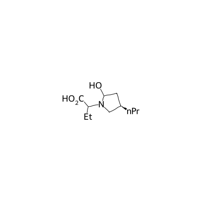 CCC[C@@H]1CC(O)N(C(CC)C(=O)O)C1